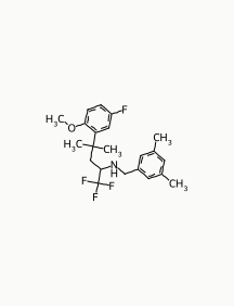 COc1ccc(F)cc1C(C)(C)CC(NCc1cc(C)cc(C)c1)C(F)(F)F